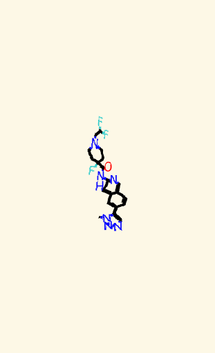 Cn1nncc1-c1ccc2cnc(NC(=O)C3(F)CCN(CC(F)F)CC3)cc2c1